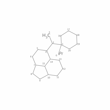 CC(C)C1(C(C)C2CCC3CCC4CCCC2C43)CCCCC1